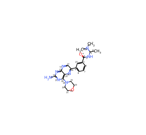 CC(NC(=O)c1cccc(-c2cnc3nc(N)nc(N4CCOCC4)c3n2)c1)N(C)C